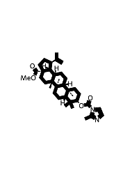 C=C(C)[C@@H]1CC[C@]2(C(=O)OC)CC[C@]3(C)[C@H](CC[C@@H]4[C@@]5(C)CC[C@H](OC(=O)n6ccnc6C)C(C)(C)[C@@H]5CC[C@]43C)[C@@H]12